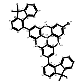 CC1(C)c2ccccc2-c2c(-c3cc4c5c(c3)Oc3cc(-c6cccc7c6-c6ccccc6C7(C)C)cc6c3N5c3c(cc(Br)cc3O6)O4)cccc21